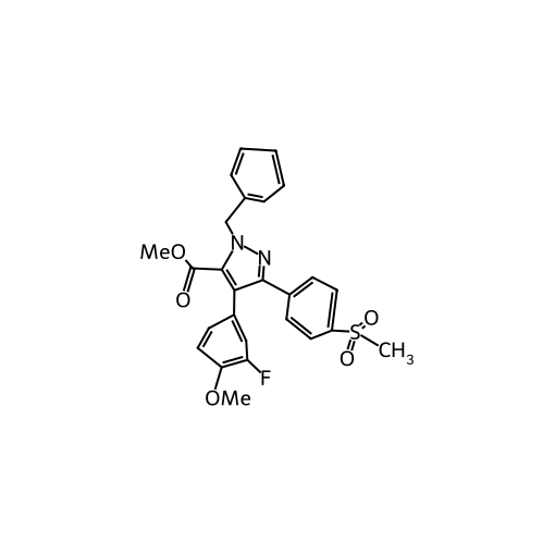 COC(=O)c1c(-c2ccc(OC)c(F)c2)c(-c2ccc(S(C)(=O)=O)cc2)nn1Cc1ccccc1